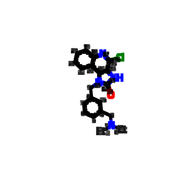 CCN(CC)Cc1cccc(Cn2c(=O)[nH]c3c(Cl)nc4ccccc4c32)c1